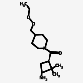 CCOOCC1CCN(C(=O)[C@@H]2C[C@H](N)C2(C)C)CC1